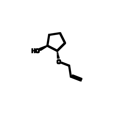 C=CCO[C@H]1CCC[C@@H]1O